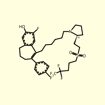 O=S(=O)(CCCC(F)(F)C(F)(F)F)CC[C@@H]1CCCN1CCCCCCC1=C(c2ccc(F)cc2)CCCc2cc(O)c(F)cc21